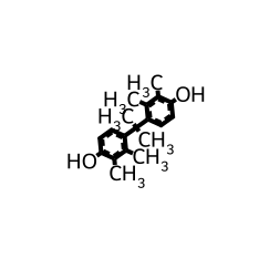 Cc1c(O)ccc(C(C)(C)c2ccc(O)c(C)c2C)c1C